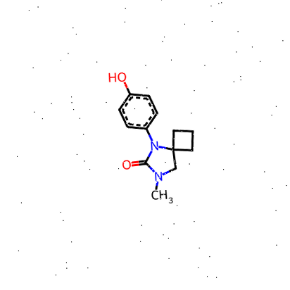 CN1CC2(CCC2)N(c2ccc(O)cc2)C1=O